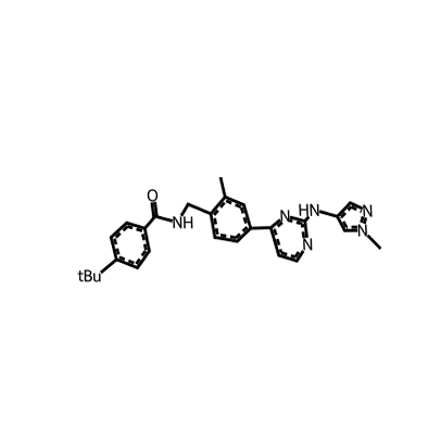 Cc1cc(-c2ccnc(Nc3cnn(C)c3)n2)ccc1CNC(=O)c1ccc(C(C)(C)C)cc1